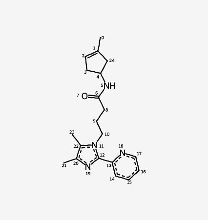 CC1=CCC(NC(=O)CCCn2c(-c3ccccn3)nc(C)c2C)C1